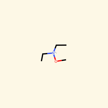 CC[N+](CC)OC